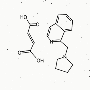 O=C(O)C=CC(=O)O.c1ccc2c(CN3CCCC3)nccc2c1